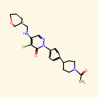 CC(=O)N1CCC(c2ccc(-n3ncc(NC[C@@H]4CCCOC4)c(Cl)c3=O)cc2)CC1